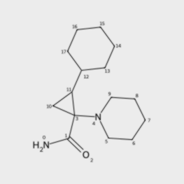 NC(=O)C1(N2CCCCC2)CC1C1CCCCC1